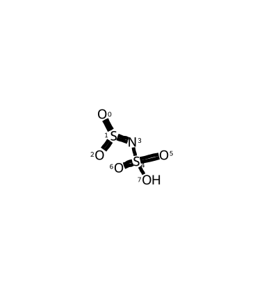 O=S(=O)=NS(=O)(=O)O